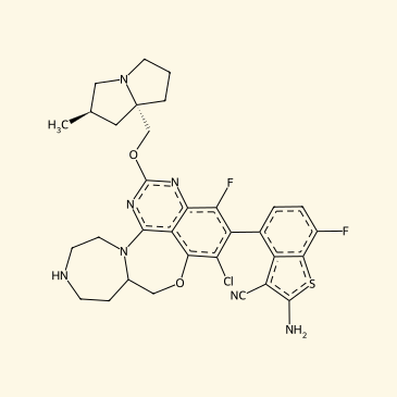 C[C@H]1CN2CCC[C@@]2(COc2nc3c4c(c(Cl)c(-c5ccc(F)c6sc(N)c(C#N)c56)c(F)c4n2)OCC2CCNCCN32)C1